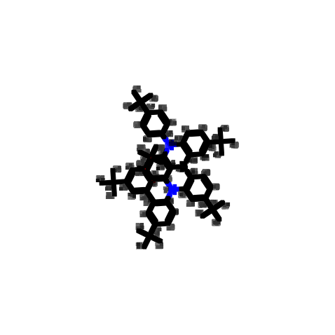 Cc1cc2c3c(c1)N(c1ccc(C(C)(C)C)cc1-c1cc(C(C)(C)C)cc(C(C)(C)C)c1)c1cc(C(C)(C)C)ccc1B3c1cc(C(C)(C)C)ccc1N2c1ccc(C(C)(C)C)cc1